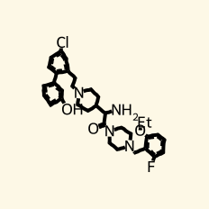 CCOc1cccc(F)c1CN1CCN(C(=O)C(N)C2CCN(CCc3cc(Cl)ccc3-c3cccc(O)c3)CC2)CC1